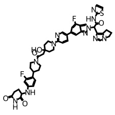 O=C1CCC(Nc2ccc(C3CCN(C(=O)CC4(O)CCN(c5ccc(-c6cc(F)c7cn(C(C(=O)Nc8nccs8)c8ncn9c8CCC9)nc7c6)cn5)CC4)CC3)c(F)c2)C(=O)N1